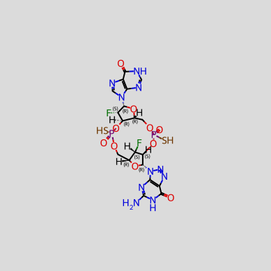 Nc1nc2c(nnn2[C@@H]2O[C@@H]3COP(=O)(S)O[C@H]4[C@H](F)[C@H](n5cnc6c(=O)[nH]cnc65)O[C@@H]4COP(=O)(S)O[C@@H]2[C@H]3F)c(=O)[nH]1